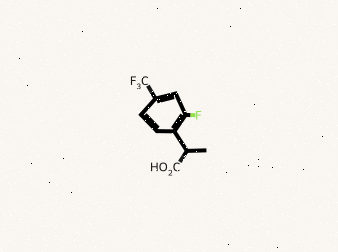 CC(C(=O)O)c1ccc(C(F)(F)F)cc1F